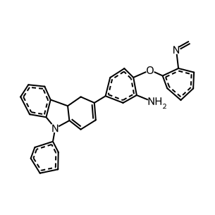 C=Nc1ccccc1Oc1ccc(C2=CC=C3C(C2)c2ccccc2N3c2ccccc2)cc1N